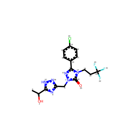 CC(O)c1nc(Cn2nc(-c3ccc(Cl)cc3)n(CCC(F)(F)F)c2=O)n[nH]1